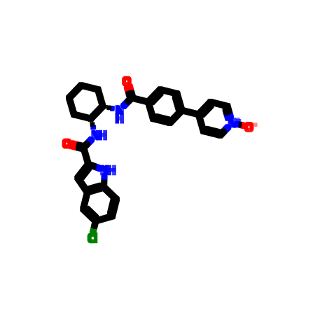 O=C(N[C@H]1CCCC[C@H]1NC(=O)c1cc2cc(Cl)ccc2[nH]1)c1ccc(-c2cc[n+]([O-])cc2)cc1